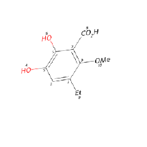 CCc1cc(O)c(O)c(C(=O)O)c1OC